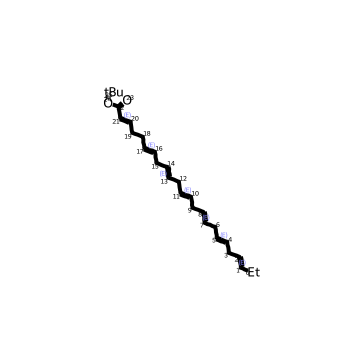 CC/C=C/C/C=C/C/C=C/C/C=C/C/C=C/C/C=C/CC/C=C/C(=O)OC(C)(C)C